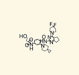 O=C(Nc1nc2c(c(N3CCC(F)(F)CC3)n1)CCC2)c1ccc(NS(=O)(=O)CCO)cc1N1CCC2(CC1)CC2